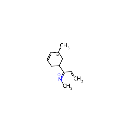 C=C/C(=N\C)C1CC=C[C@@H](C)C1